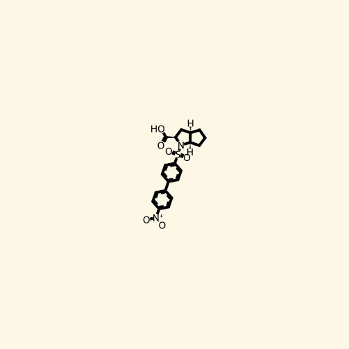 O=C(O)[C@H]1C[C@H]2CCC[C@H]2N1S(=O)(=O)c1ccc(-c2ccc([N+](=O)[O-])cc2)cc1